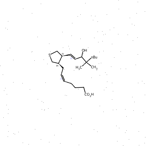 CCCCC(C)(C)C(O)/C=C/[C@@H]1CSC[C@@H]1C/C=C\CCCC(=O)O